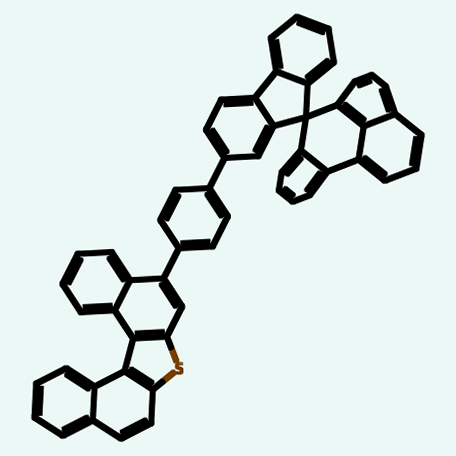 c1ccc2c(c1)-c1ccc(-c3ccc(-c4cc5sc6ccc7ccccc7c6c5c5ccccc45)cc3)cc1C21c2ccccc2-c2cccc3cccc1c23